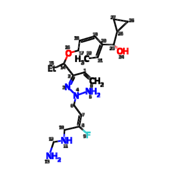 C=C/C(=N\N(N)C/C=C(/F)CNCN)C(CC)OC/C=C\C(=C/C)[C@@H](O)C1CC1